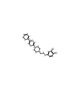 Clc1ccc(SCCN2CCN(C3=COC(C4=CC=CCC4)=CO3)CC2)cc1Cl